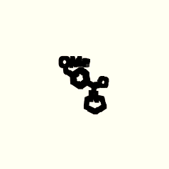 COCc1ccc(C(=O)N2CCCCC2)cc1